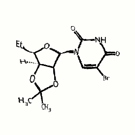 CC[C@H]1O[C@@H](n2cc(Br)c(=O)[nH]c2=O)C2OC(C)(C)O[C@H]21